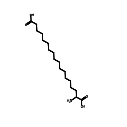 NC(CCCCCCCCCCCCCCCC(=O)O)C(=O)O